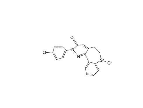 O=c1cc2c(nn1-c1ccc(Cl)cc1)-c1ccccc1[S+]([O-])CC2